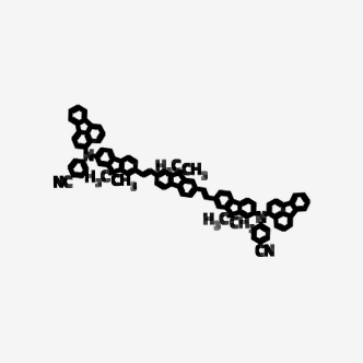 CC1(C)c2cc(/C=C/c3ccc4c(c3)C(C)(C)c3cc(N(c5ccc(C#N)cc5)c5ccc6c7c(cccc57)-c5ccccc5-6)ccc3-4)ccc2-c2ccc(/C=C/c3ccc4c(c3)C(C)(C)c3cc(N(c5ccc(C#N)cc5)c5ccc6c7c(cccc57)-c5ccccc5-6)ccc3-4)cc21